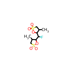 CC1CS(=O)(=O)OC1C(F)C1OS(=O)(=O)CC1C